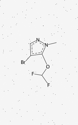 Cn1n[c]c(Br)c1OC(F)F